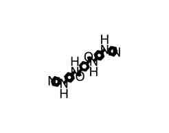 O=C(Nc1ccc(Nc2ccncc2)cc1)C1CCC(C(=O)Nc2ccc(Nc3ccncc3)cc2)CC1